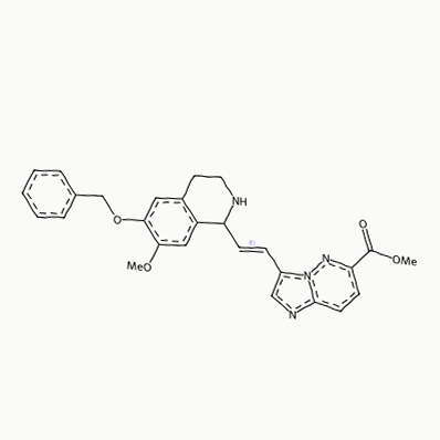 COC(=O)c1ccc2ncc(/C=C/C3NCCc4cc(OCc5ccccc5)c(OC)cc43)n2n1